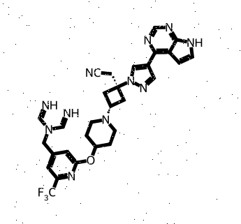 N#CC[C@]1(n2cc(-c3ncnc4[nH]ccc34)cn2)C[C@H](N2CCC(Oc3cc(CN(C=N)C=N)cc(C(F)(F)F)n3)CC2)C1